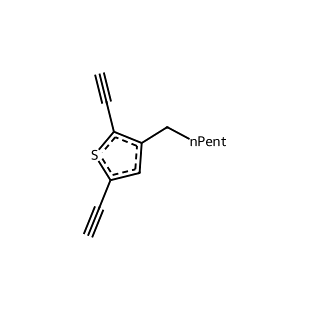 C#Cc1cc(CCCCCC)c(C#C)s1